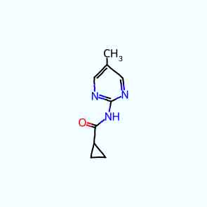 Cc1cnc(NC(=O)C2CC2)nc1